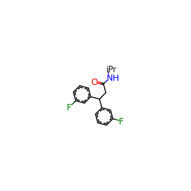 CC(C)NC(=O)CC(c1cccc(F)c1)c1cccc(F)c1